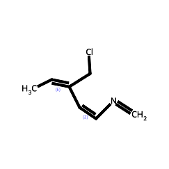 C=N/C=C\C(=C/C)CCl